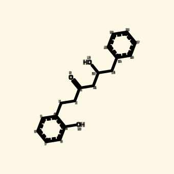 O=C(CCc1ccccc1O)CC(O)Cc1ccccc1